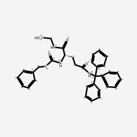 O=C(O)CNC(=O)[C@H](CCC(=O)NC(c1ccccc1)(c1ccccc1)c1ccccc1)NC(=O)OCc1ccccc1